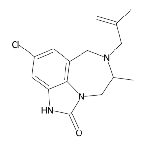 C=C(C)CN1Cc2cc(Cl)cc3[nH]c(=O)n(c23)CC1C